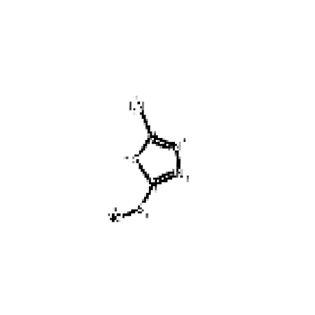 N#CSc1nnc(N)s1